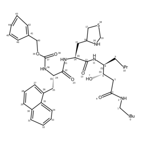 CCC(C)CNC(=O)C[C@H](O)[C@H](CC(C)C)NC(=O)[C@H](CC1CSCN1)NC(=O)[C@H](Cc1cccc2ccccc12)NC(=O)OCc1ccccc1